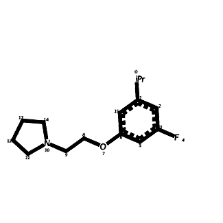 CC(C)c1cc(F)cc(OCCN2CCCC2)c1